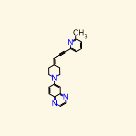 Cc1cccc(C#CC=C2CCN(c3ccc4nccnc4c3)CC2)n1